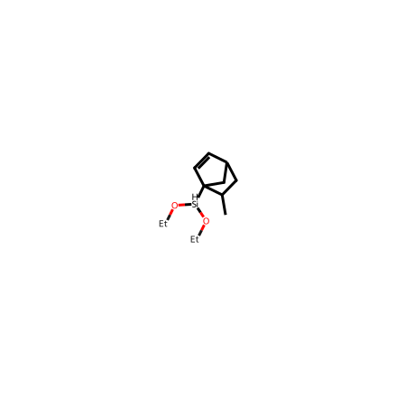 CCO[SiH](OCC)C12C=CC(CC1C)C2